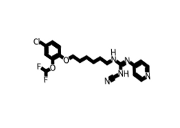 N#CN/C(=N\c1ccncc1)NCCCCCCOc1ccc(Cl)cc1OC(F)F